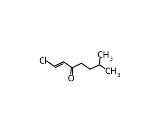 CC(C)CCC(=O)C=CCl